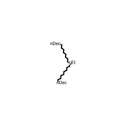 CCCCCCCCCCCCCCCCCC[Si](CC)CCCCCCCCCCCCCCCCCC